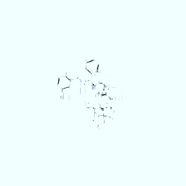 CC(C)c1cccc(CNC[C@@H](O)[C@H](Cc2ccccc2)NC(=O)C(C)N2CCC3(CCCN3CCF)C2=O)c1